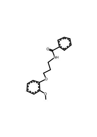 COc1c[c]ccc1OCCCNC(=O)c1ccccc1